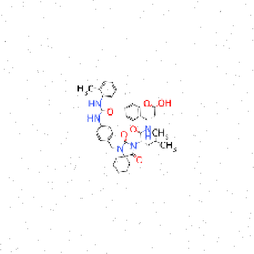 Cc1ccccc1NC(=O)Nc1ccc(CN2C(=O)N([C@@H](CC(C)C)C(=O)N[C@@H](CC(=O)O)c3ccccc3)C(=O)C23CCCCC3)cc1